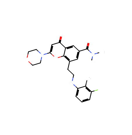 CN(C)C(=O)c1cc(CCNc2cccc(F)c2C#N)c2oc(N3CCOCC3)cc(=O)c2c1